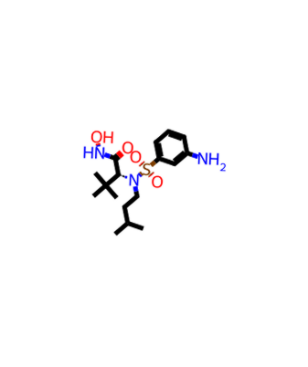 CC(C)CCN([C@@H](C(=O)NO)C(C)(C)C)S(=O)(=O)c1cccc(N)c1